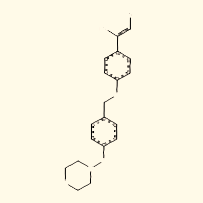 N/C=C(\N)c1ccc(OCc2ccc(SN3CCOCC3)cc2)cc1